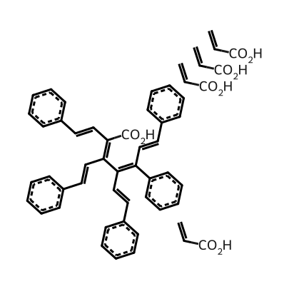 C=CC(=O)O.C=CC(=O)O.C=CC(=O)O.C=CC(=O)O.O=C(O)C(C=Cc1ccccc1)=C(C=Cc1ccccc1)C(C=Cc1ccccc1)=C(C=Cc1ccccc1)c1ccccc1